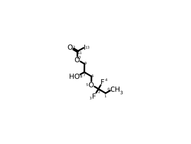 CCC(F)(F)OCC(O)COC(=O)I